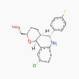 OC[C@H]1CC[C@@H]2[C@H](O1)c1cc(Cl)ccc1N[C@H]2c1ccc(F)cc1